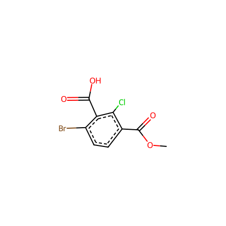 COC(=O)c1ccc(Br)c(C(=O)O)c1Cl